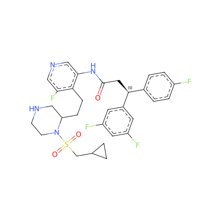 O=C(C[C@@H](c1ccc(F)cc1)c1cc(F)cc(F)c1)Nc1cncc(F)c1CCC1CNCCN1S(=O)(=O)CC1CC1